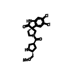 COC[C@H]1C[C@H](C(=O)N2CC[C@]3(C2)C(=O)Nc2cc(Cl)c(Cl)cc23)CN1